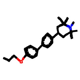 CCCOc1ccc(-c2ccc(C3CC(C)(C)N(C)C(C)(C)C3)cc2)cc1